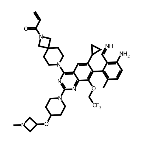 C=CC(=O)N1CC2(CCN(c3nc(N4CCC(OC5CN(C)C5)CC4)nc4c(OCC(F)(F)F)c(-c5c(C)ccc(N)c5C=N)c(C5CC5)cc34)CC2)C1